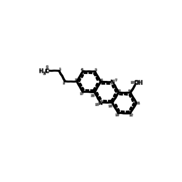 CCCc1ccc2nc3c(O)cccc3nc2c1